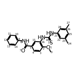 COc1ccc(C(=O)Nc2ccccc2)cc1NC(=S)Nc1cc(C)cc(C)c1